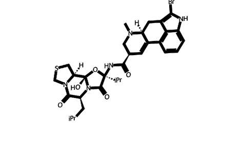 CC(C)C[C@H]1C(=O)N2CSC[C@H]2[C@]2(O)O[C@](NC(=O)[C@@H]3C=C4c5cccc6[nH]c(Br)c(c56)C[C@@H]4N(C)C3)(C(C)C)C(=O)N12